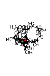 CC[C@H](C)[C@@H]1NC(=O)CNC(=O)C2Cc3c([nH]c4cc(O)ccc34)SC[C@H](NC(=O)CNC1=O)C(=O)N[C@@H](CC(N)=O)C(=O)N1CC(O)C[C@H]1C(=O)N[C@@H]([C@@H](C)[C@@H](O)CO)C(=O)N2